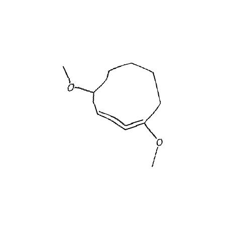 COC1=C=CC(OC)CCCC1